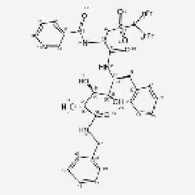 CCCC(CCC)S(=O)(=O)CC(NC(=O)c1cccnc1)C(=O)N[C@@H](Cc1ccccc1)[C@@H](O)[C@H](O)[C@@H](C)C(=O)NCc1ccccc1